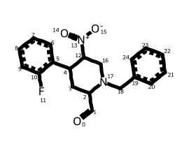 O=CC1CC(c2ccccc2F)C([N+](=O)[O-])CN1Cc1ccccc1